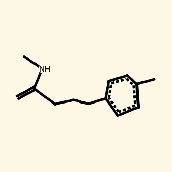 C=C(CCCc1ccc(C)cc1)NC